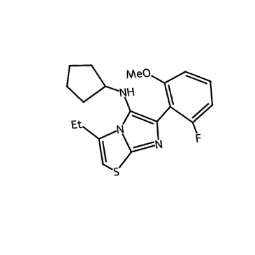 CCc1csc2nc(-c3c(F)cccc3OC)c(NC3CCCC3)n12